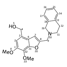 COc1cc(CO)c2cc(CN3CCc4ccccc4C3)oc2c1OC